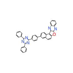 c1ccc(-c2nc(-c3ccccc3)nc(-c3ccc(-c4ccc5c(ccc6oc7nc8ccccc8nc7c65)c4)cc3)n2)cc1